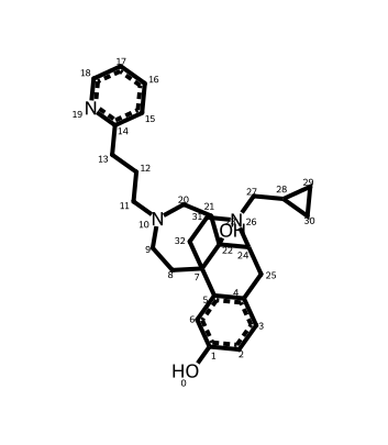 Oc1ccc2c(c1)C13CCN(CCCc4ccccn4)CCC1(O)C(C2)N(CC1CC1)CC3